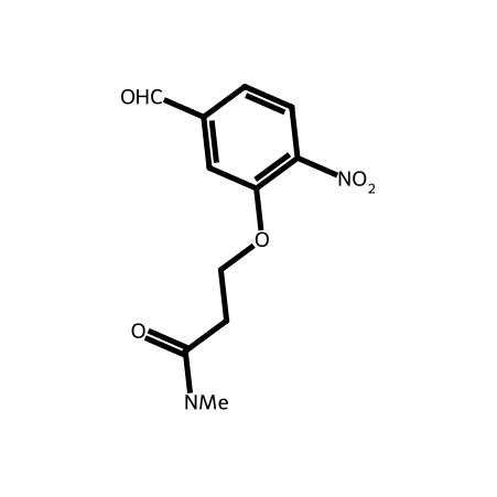 CNC(=O)CCOc1cc(C=O)ccc1[N+](=O)[O-]